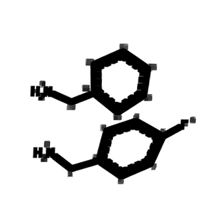 NCc1ccc(F)cc1.NCc1ccccc1